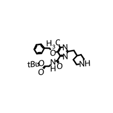 Cc1nc(CC2CCNCC2)nc(C(=O)NCC(=O)OC(C)(C)C)c1OCc1ccccc1